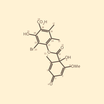 COC1=CC(=O)C=C(C)C1(O)C(=O)Oc1c(C)c(C)c(C(=O)O)c(O)c1Br